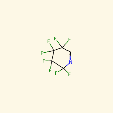 FC1(F)C=NC(F)(F)C(F)(F)C1(F)F